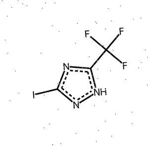 FC(F)(F)c1nc(I)n[nH]1